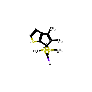 CC1=C(C)C2(c3sccc31)S1(C)C(I)S21C